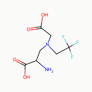 NC(CN(CC(=O)O)CC(F)(F)F)C(=O)O